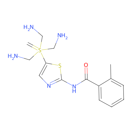 C=S(CN)(CN)(CN)c1cnc(NC(=O)c2ccccc2C)s1